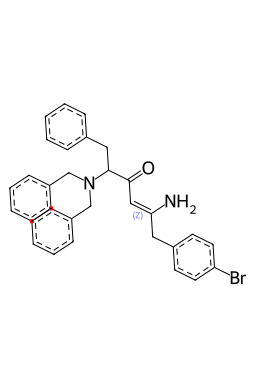 N/C(=C\C(=O)C(Cc1ccccc1)N(Cc1ccccc1)Cc1ccccc1)Cc1ccc(Br)cc1